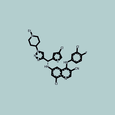 CCN1CCC(n2cc([C@@H](Nc3cc(Cl)c4ncc(C#N)c(Nc5ccc(F)c(Cl)c5)c4c3)c3cc(Cl)cs3)nn2)CC1